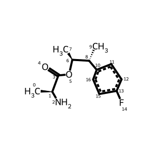 C[C@H](N)C(=O)O[C@@H](C)[C@H](C)c1ccc(F)cc1